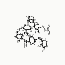 Cc1csc(Nc2ncc(Sc3ccccc3)cc2Oc2cc(C(=O)NCCN(C)C)ccc2Cl)n1.Cl.Cl